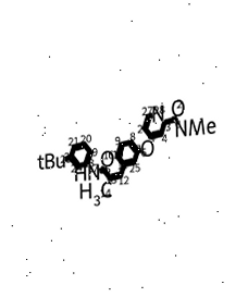 CNC(=O)c1cc(Oc2cccc(C=C(C)C(=O)Nc3cccc(C(C)(C)C)c3)c2)ccn1